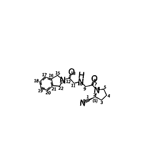 N#C[C@@H]1CCCN1C(=O)CNCC(=O)N1Cc2ccccc2C1